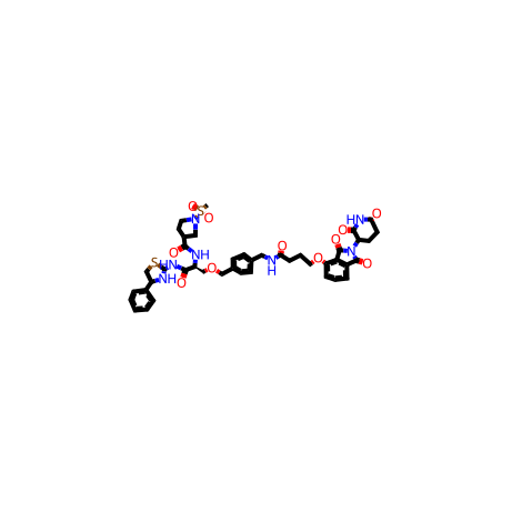 CS(=O)(=O)N1CCC(C(=O)N[C@@H](COCc2ccc(CNC(=O)CCCOc3cccc4c3C(=O)N(C3CCC(=O)NC3=O)C4=O)cc2)C(=O)NC2NC(c3ccccc3)CS2)C1